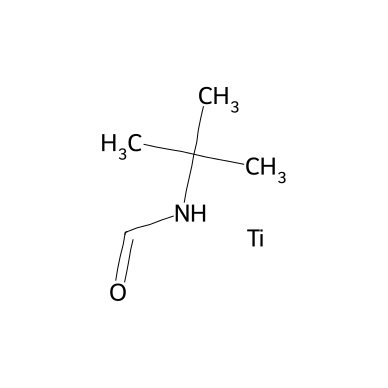 CC(C)(C)NC=O.[Ti]